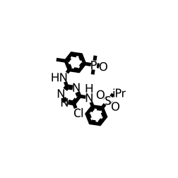 Cc1ccc(P(C)(C)=O)cc1Nc1nnc(Cl)c(Nc2ccccc2S(=O)(=O)C(C)C)n1